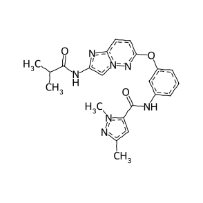 Cc1cc(C(=O)Nc2cccc(Oc3ccc4nc(NC(=O)C(C)C)cn4n3)c2)n(C)n1